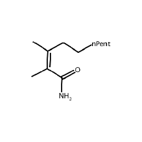 CCCCCCCC(C)=C(C)C(N)=O